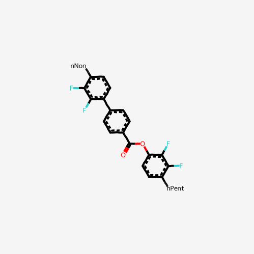 CCCCCCCCCc1ccc(-c2ccc(C(=O)Oc3ccc(CCCCC)c(F)c3F)cc2)c(F)c1F